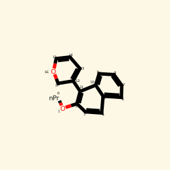 CCCOc1ccc2ccccc2c1C1=CC=CO[C]1